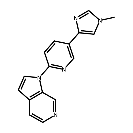 Cn1cnc(-c2ccc(-n3ccc4ccncc43)nc2)c1